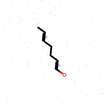 C/C=C/CC/C=C/[O]